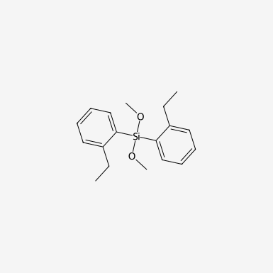 CCc1ccccc1[Si](OC)(OC)c1ccccc1CC